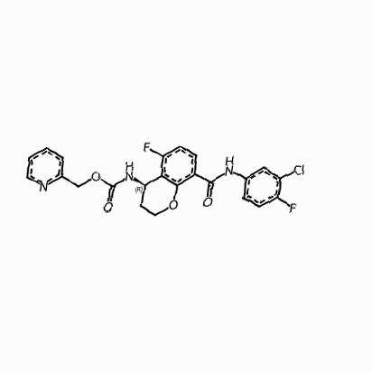 O=C(N[C@@H]1CCOc2c(C(=O)Nc3ccc(F)c(Cl)c3)ccc(F)c21)OCc1ccccn1